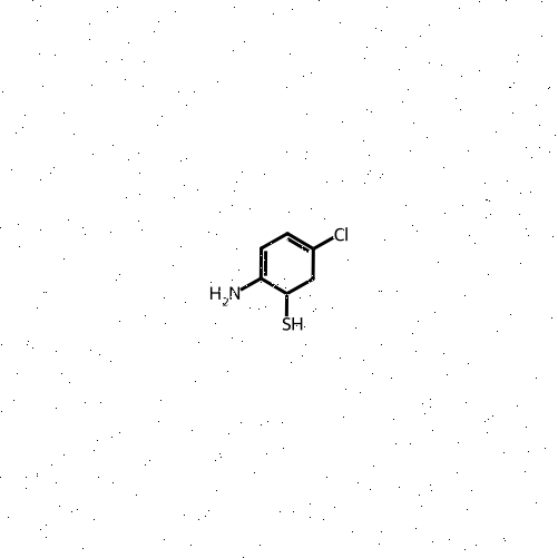 NC1=CC=C(Cl)CC1S